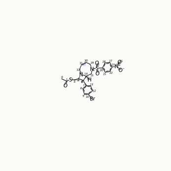 CC(=O)SC[C@@H]1[C@H](c2ccc(Br)cc2)[C@@H]2CN(S(=O)(=O)c3ccc([N+](=O)[O-])cc3)C/C=C\CN12